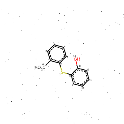 O=C(O)c1ccccc1Sc1ccccc1O